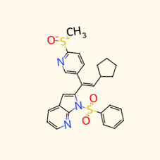 C[S+]([O-])c1ccc(/C(=C\C2CCCC2)c2cc3cccnc3n2S(=O)(=O)c2ccccc2)cn1